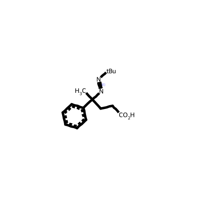 CC(C)(C)/N=N/C(C)(CCC(=O)O)c1ccccc1